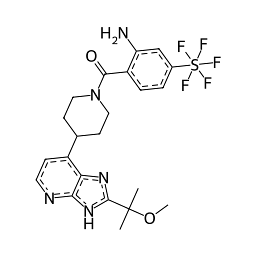 COC(C)(C)c1nc2c(C3CCN(C(=O)c4ccc(S(F)(F)(F)(F)F)cc4N)CC3)ccnc2[nH]1